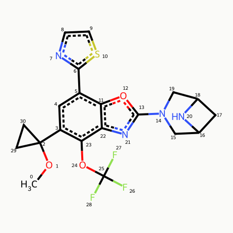 COC1(c2cc(-c3nccs3)c3oc(N4CC5CC(C4)N5)nc3c2OC(F)(F)F)CC1